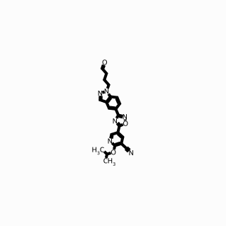 CC(C)Oc1ncc(-c2nc(-c3ccc4c(cnn4CCCC=O)c3)no2)cc1C#N